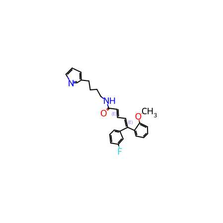 COc1ccccc1/C(=C/C=C/C(=O)NCCCCc1cccnc1)c1cccc(F)c1